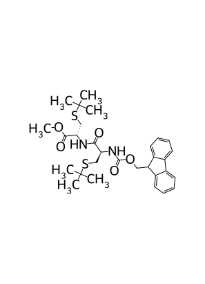 COC(=O)[C@H](CSC(C)(C)C)NC(=O)[C@H](CSC(C)(C)C)NC(=O)OCC1c2ccccc2-c2ccccc21